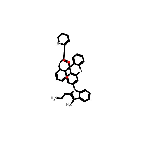 Cc1c(CCN)n(-c2ccc3c(c2)Oc2ccccc2C32c3ccc(C4=CCCCN4)cc3OC3C=CC=CC32)c2ccccc12